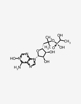 CC(O)P(=O)(O)OC(C)(C)C[C@H]1O[C@@H](n2cnc3c(N)[n+](O)cnc32)[C@H](O)[C@@H]1O